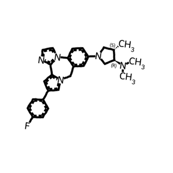 C[C@H]1CN(c2ccc3c(c2)Cn2cc(-c4ccc(F)cc4)cc2-c2nccn2-3)C[C@@H]1N(C)C